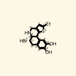 Br.CCc1cc2c(s1)C1c3cc(O)c(O)cc3CCC1NC2